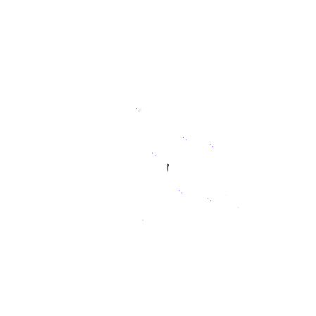 Cn1cc[n+](CC2c3[nH]c4ccc(Cl)cc4c3CCN2C[C@@H]2C[C@@H](O)CN2c2ccc(Cl)c(C(F)(F)F)n2)c1